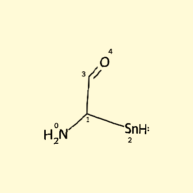 N[CH]([SnH])C=O